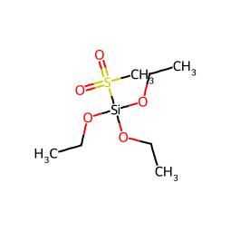 CCO[Si](OCC)(OCC)S(C)(=O)=O